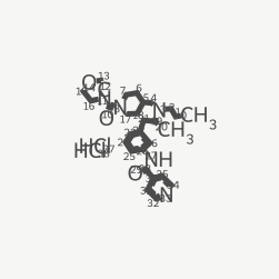 CCCN(CC1CCN(C(=O)N2CCOCC2)CC1)C(C)Cc1cccc(NC(=O)c2ccncc2)c1.Cl.Cl